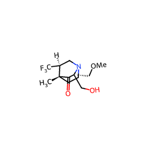 COC[C@]1(CO)C(=O)[C@]2(C)CCN1C[C@@H]2C(F)(F)F